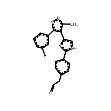 Cc1onc(-c2cccc(F)c2)c1-c1c[nH]c(-c2ccc(CC=O)cc2)n1